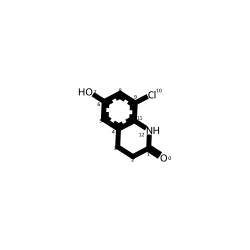 O=C1CCc2cc(O)cc(Cl)c2N1